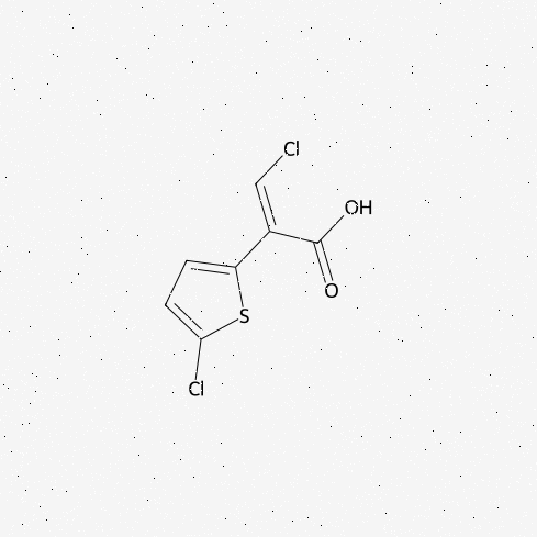 O=C(O)C(=CCl)c1ccc(Cl)s1